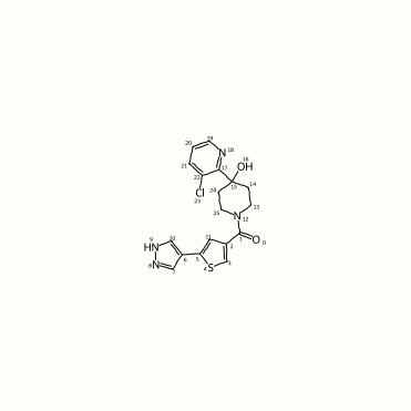 O=C(c1csc(-c2cn[nH]c2)c1)N1CCC(O)(c2ncccc2Cl)CC1